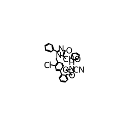 N#CNS(=O)(=O)c1ccccc1-c1ccc(Cn2c(-c3ccccc3)nc(Oc3ccccc3)c2C=O)c(Cl)c1